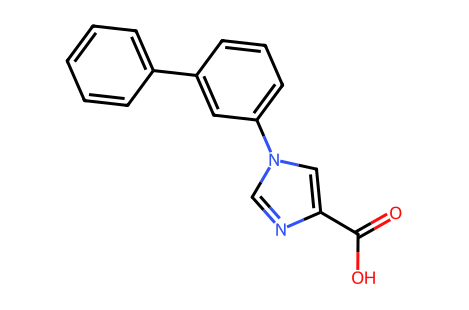 O=C(O)c1cn(-c2cccc(-c3ccccc3)c2)cn1